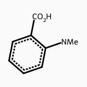 [CH2]Nc1ccccc1C(=O)O